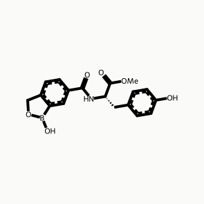 COC(=O)[C@H](Cc1ccc(O)cc1)NC(=O)c1ccc2c(c1)B(O)OC2